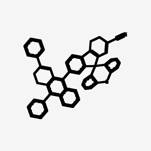 N#CC1=CC2=C(CC1)c1ccc(-c3c4c(c(-c5ccccc5)c5ccccc35)CCC(c3ccccc3)=C4)cc1C21c2ccccc2Sc2ccccc21